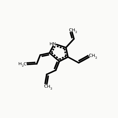 C=C/C=c1/c(C=C)c(C=C)[nH]/c1=C/C=C